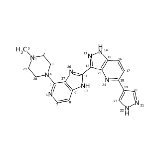 CN1CCN(c2nccc3[nH]c(-c4n[nH]c5ccc(-c6cn[nH]c6)nc45)nc23)CC1